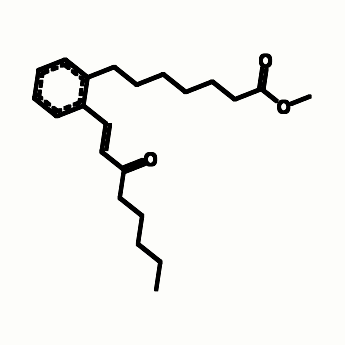 CCCCCC(=O)C=Cc1ccccc1CCCCCCC(=O)OC